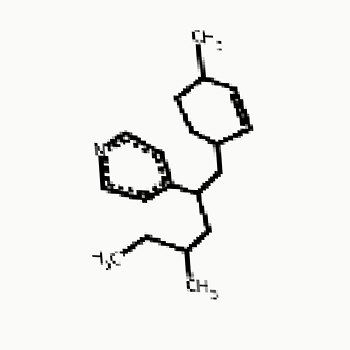 CCC(C)CC(CC1C=CC(C)CC1)c1ccncc1